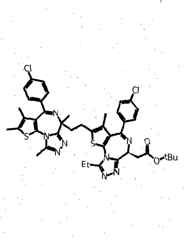 CCc1nnc2n1-c1sc(CCC3(C)N=C(c4ccc(Cl)cc4)c4c(sc(C)c4C)-n4c(C)nnc43)c(C)c1C(c1ccc(Cl)cc1)=N[C@H]2CC(=O)OC(C)(C)C